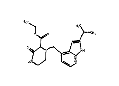 CCOC(=O)C1C(=O)NCCN1Cc1cccc2[nH]c(C(C)C)cc12